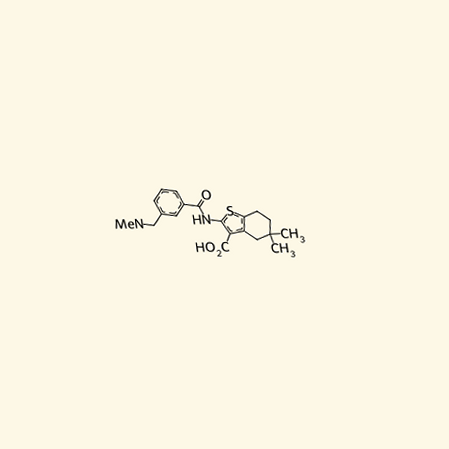 CNCc1cccc(C(=O)Nc2sc3c(c2C(=O)O)CC(C)(C)CC3)c1